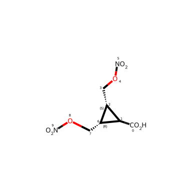 O=C(O)C1[C@@H](CO[N+](=O)[O-])[C@H]1CO[N+](=O)[O-]